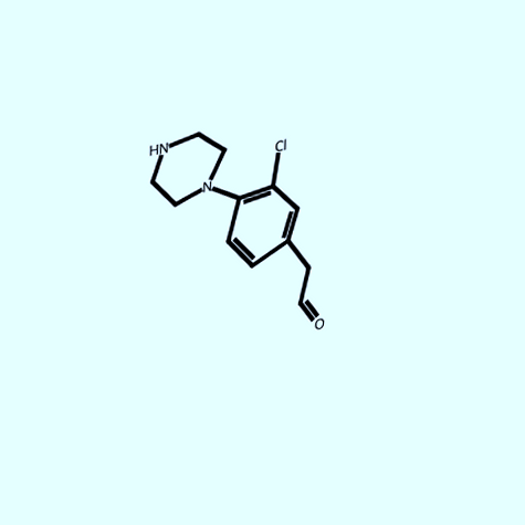 O=CCc1ccc(N2CCNCC2)c(Cl)c1